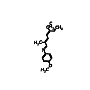 C=C\C(=C/C=C(C)/C=N/c1ccc(OC)cc1)OC